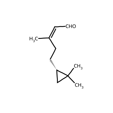 C/C(=C/C=O)CC[C@H]1CC1(C)C